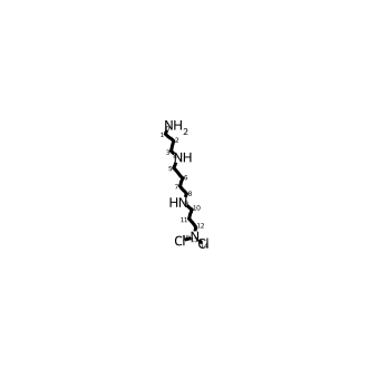 NCCCNCCCCNCCCN(Cl)Cl